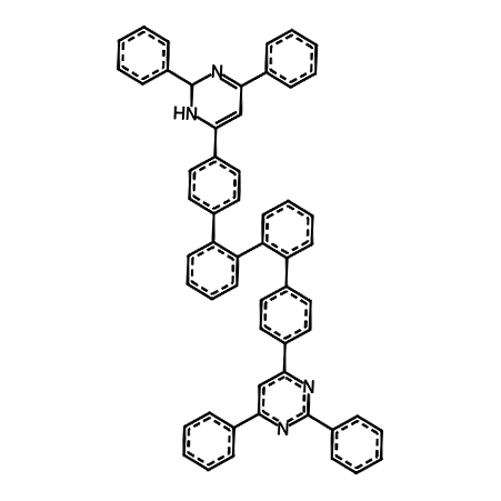 C1=C(c2ccc(-c3ccccc3-c3ccccc3-c3ccc(-c4cc(-c5ccccc5)nc(-c5ccccc5)n4)cc3)cc2)NC(c2ccccc2)N=C1c1ccccc1